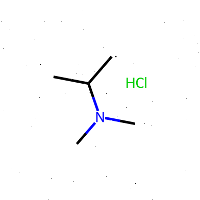 Cl.[CH2]C(C)N(C)C